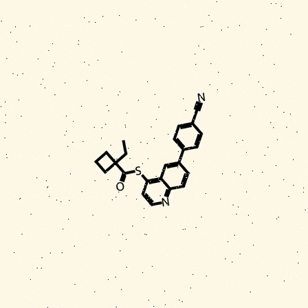 CCC1(C(=O)Sc2ccnc3ccc(-c4ccc(C#N)cc4)cc23)CCC1